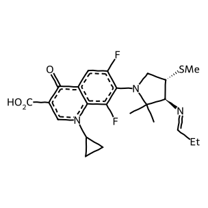 CCC=N[C@@H]1[C@@H](SC)CN(c2c(F)cc3c(=O)c(C(=O)O)cn(C4CC4)c3c2F)C1(C)C